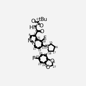 CC(C)(C)S(=O)(=O)NC(=O)c1cnn2ccc(N3CCC[C@@H]3c3cc(F)cc4c3OCO4)c(F)c12